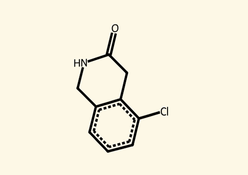 O=C1Cc2c(Cl)cccc2CN1